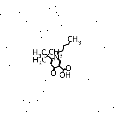 CCCCCn1cc(C(=O)O)c(=O)cc1C(C)(C)C